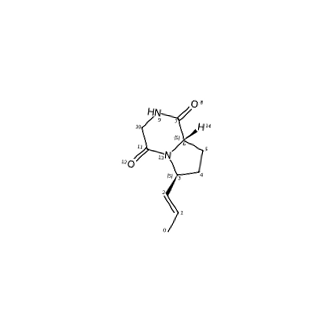 CC=C[C@@H]1CC[C@H]2C(=O)NCC(=O)N12